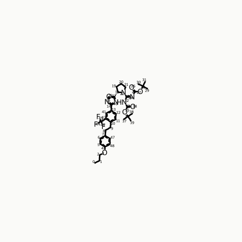 CCCOc1ccc(CCc2ccc(-c3noc([C@@H]4CCCN4/C(=N\C(=O)OC(C)(C)C)NC(=O)OC(C)(C)C)n3)cc2C(F)(F)F)cc1